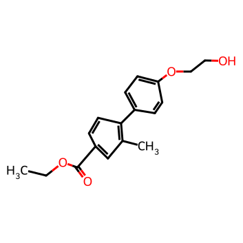 CCOC(=O)c1ccc(-c2ccc(OCCO)cc2)c(C)c1